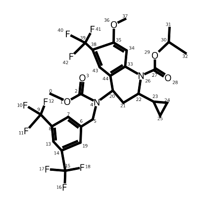 COC(=O)N(Cc1cc(C(F)(F)F)cc(C(F)(F)F)c1)C1CC(C2CC2)N(C(=O)OC(C)C)c2cc(OC)c(C(F)(F)F)cc21